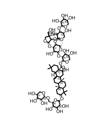 C[C@@H]1O[C@@H](O[C@H]2[C@H](OC(=O)[C@]34CCC(C)(C)C[C@H]3C3=CCC5[C@@]6(C)CC[C@H](O[C@@H]7O[C@H](CO[C@@H]8OC[C@H](O)[C@H](O)[C@H]8O)[C@@H](O)[C@H](O)[C@H]7O)C(C)(C)C6CC[C@@]5(C)[C@]3(C)C[C@H]4O)OC[C@@H](O)[C@@H]2O)[C@H](O)[C@H](O[C@@H]2OC[C@](O)(CO)[C@H]2O)[C@H]1O[C@@H]1OC[C@H](O)[C@H](O[C@@H]2OC[C@@H](O)[C@H](O)[C@H]2O)[C@H]1O